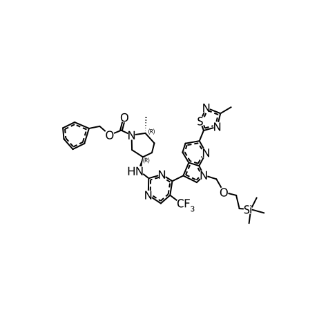 Cc1nsc(-c2ccc3c(-c4nc(N[C@@H]5CC[C@@H](C)N(C(=O)OCc6ccccc6)C5)ncc4C(F)(F)F)cn(COCC[Si](C)(C)C)c3n2)n1